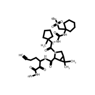 C#CCCC(NC(=O)C1C2C(CN1C(=O)[C@@H](NC(=O)NC1(CS(=O)(=O)C(C)(C)C)CCCCC1)C1(C)CCCC1)C2(C)C)C(=O)C(=O)NCCC